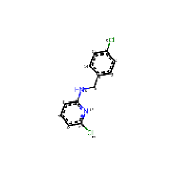 Clc1ccc(CNc2cc[c]c(Cl)n2)cc1